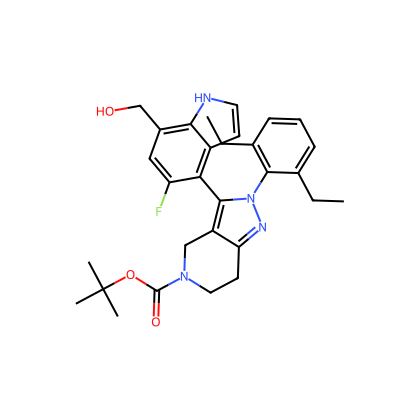 CCc1cccc(CC)c1-n1nc2c(c1-c1c(F)cc(CO)c3[nH]ccc13)CN(C(=O)OC(C)(C)C)CC2